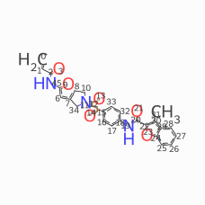 C=CC(=O)Nc1cc2c(o1)CN(S(=O)(=O)c1ccc(NC(=O)c3oc4ccccc4c3C)cc1)C2